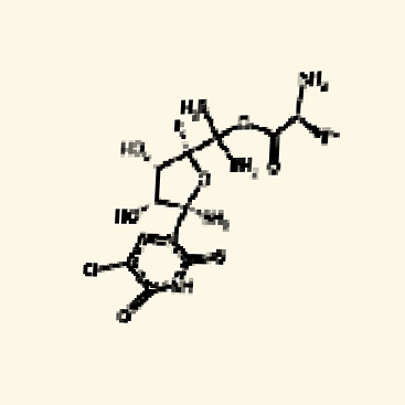 BC(B)(OC(=O)[C@@H](N)C(C)C)[C@@]1(F)O[C@@](B)(n2cc(Cl)c(=O)[nH]c2=S)[C@H](O)[C@@H]1O